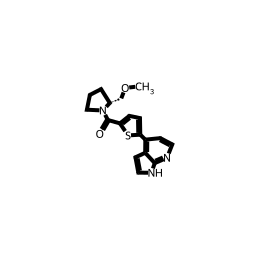 COC[C@H]1CCCN1C(=O)c1ccc(-c2ccnc3[nH]ccc23)s1